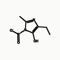 CCc1nc(C)n([N+](=O)[O-])c1O